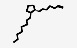 C=CCCCCC[C@H]1CCC[C@@H]1CCCCCCCC